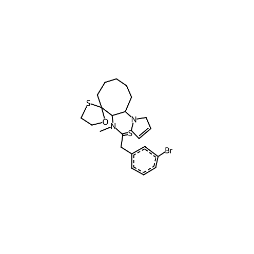 CN(C(=S)Cc1cccc(Br)c1)C1C(N2CC=CC2)CCCCCC12OCCS2